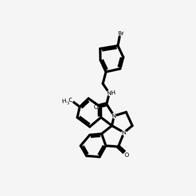 Cc1ccc(C23c4ccccc4C(=O)N2CCN3C(=O)NCc2ccc(Br)cc2)cc1